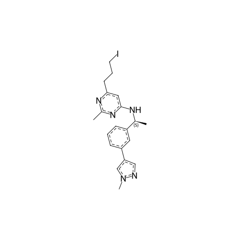 Cc1nc(CCCI)cc(N[C@@H](C)c2cccc(-c3cnn(C)c3)c2)n1